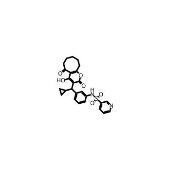 O=C1CCCCCc2oc(=O)c(C(c3cccc(NS(=O)(=O)c4cccnc4)c3)C3CC3)c(O)c21